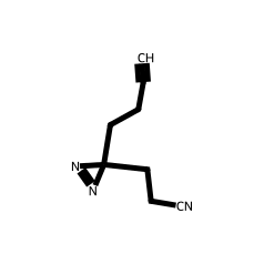 C#CCCC1(CCC#N)N=N1